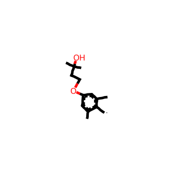 [CH2]c1c(C)cc(OCCC(C)(C)O)cc1C